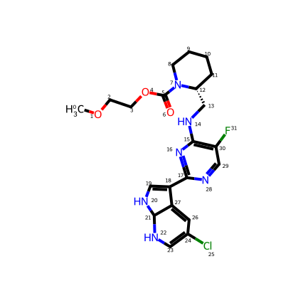 COCCOC(=O)N1CCCC[C@@H]1CNc1nc(C2=CNC3NC=C(Cl)C=C23)ncc1F